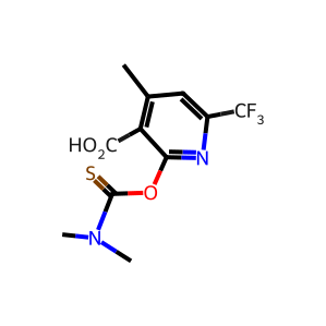 Cc1cc(C(F)(F)F)nc(OC(=S)N(C)C)c1C(=O)O